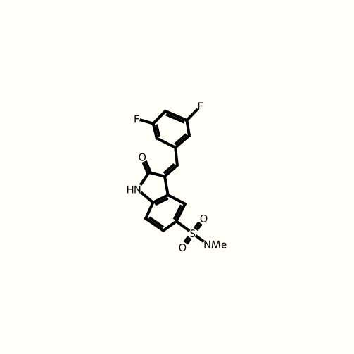 CNS(=O)(=O)c1ccc2c(c1)C(=Cc1cc(F)cc(F)c1)C(=O)N2